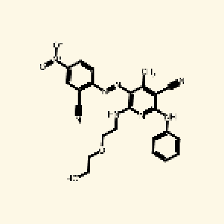 Cc1c(C#N)c(Nc2ccccc2)nc(NCCOCCO)c1N=Nc1ccc([N+](=O)[O-])cc1C#N